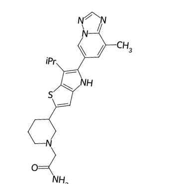 Cc1cc(-c2[nH]c3cc(C4CCCN(CC(N)=O)C4)sc3c2C(C)C)cn2ncnc12